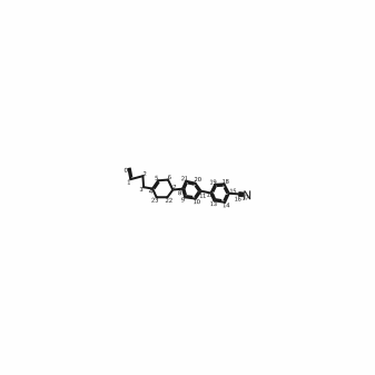 C=CCCC1=CCC(c2ccc(-c3ccc(C#N)cc3)cc2)CC1